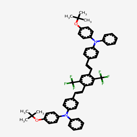 CC(C)(C)Oc1ccc(N(c2ccccc2)c2ccc(C=Cc3cc(C(F)(F)F)c(C=Cc4ccc(N(c5ccccc5)c5ccc(OC(C)(C)C)cc5)cc4)cc3C(F)(F)F)cc2)cc1